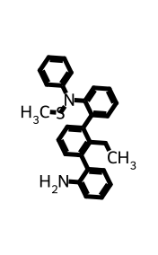 CCc1c(-c2ccccc2N)cccc1-c1ccccc1N(SC)c1ccccc1